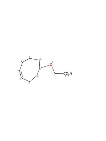 O=C(O)COC1CCC=CCCC1